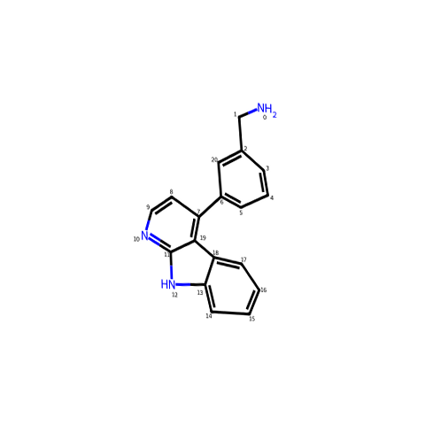 NCc1cccc(-c2ccnc3[nH]c4ccccc4c23)c1